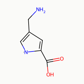 NCC1=C[N]C(C(=O)O)=C1